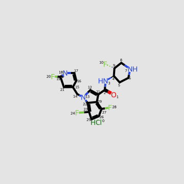 Cl.O=C(N[C@@H]1CCNC[C@H]1F)c1cn(Cc2ccnc(F)c2)c2c(F)ccc(F)c12